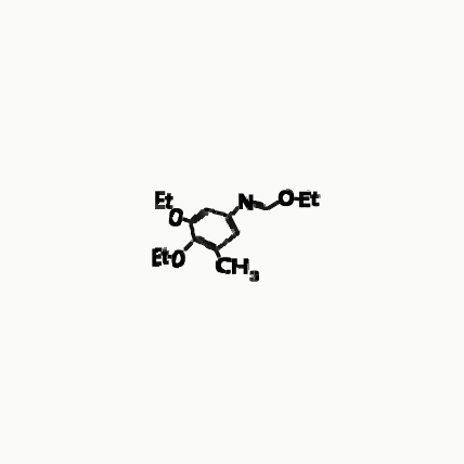 CCOC=Nc1cc(C)c(OCC)c(OCC)c1